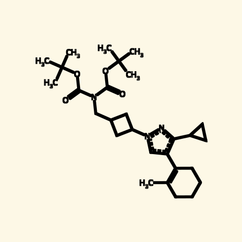 CC1=C(c2cn(C3CC(CN(C(=O)OC(C)(C)C)C(=O)OC(C)(C)C)C3)nc2C2CC2)CCCC1